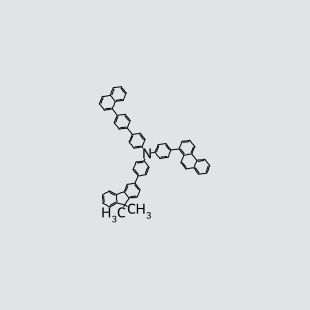 CC1(C)c2ccccc2-c2cc(-c3ccc(N(c4ccc(-c5ccc(-c6cccc7ccccc67)cc5)cc4)c4ccc(-c5cccc6c5ccc5ccccc56)cc4)cc3)ccc21